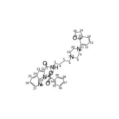 O=C(NCCCCN1CCN(c2cccc3c2OCC3)CC1)c1cc2cccnc2n1S(=O)(=O)c1ccccc1